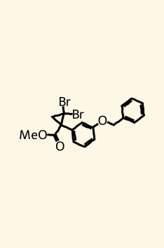 COC(=O)C1(c2cccc(OCc3ccccc3)c2)CC1(Br)Br